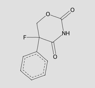 O=C1NC(=O)C(F)(c2ccccc2)CO1